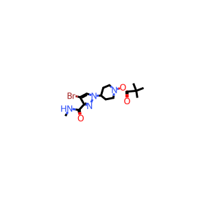 CNC(=O)c1nn(C2CCN(OC(=O)C(C)(C)C)CC2)cc1Br